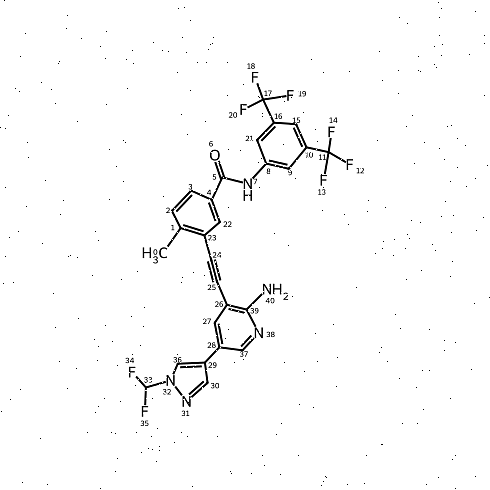 Cc1ccc(C(=O)Nc2cc(C(F)(F)F)cc(C(F)(F)F)c2)cc1C#Cc1cc(-c2cnn(C(F)F)c2)cnc1N